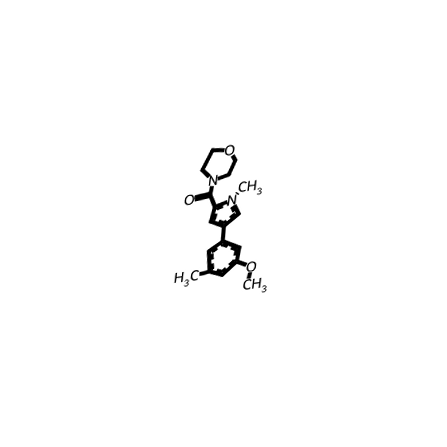 COc1cc(C)cc(-c2cc(C(=O)N3CCOCC3)n(C)c2)c1